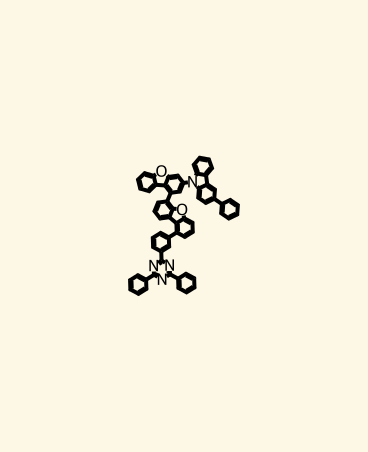 c1ccc(-c2ccc3c(c2)c2ccccc2n3-c2cc(-c3cccc4c3oc3cccc(-c5cccc(-c6nc(-c7ccccc7)nc(-c7ccccc7)n6)c5)c34)c3c(c2)oc2ccccc23)cc1